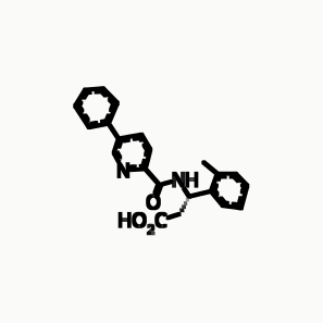 Cc1ccccc1[C@H](CC(=O)O)NC(=O)c1ccc(-c2ccccc2)cn1